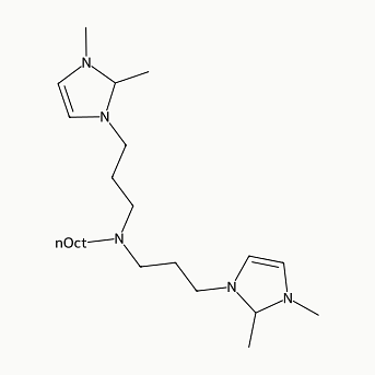 CCCCCCCCN(CCCN1C=CN(C)C1C)CCCN1C=CN(C)C1C